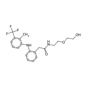 Cc1c(Nc2ccccc2CC(=O)NCCOCCO)cccc1C(F)(F)F